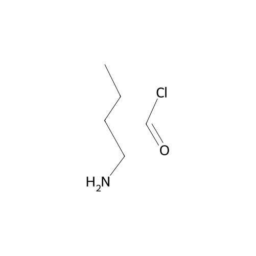 CCCCN.O=CCl